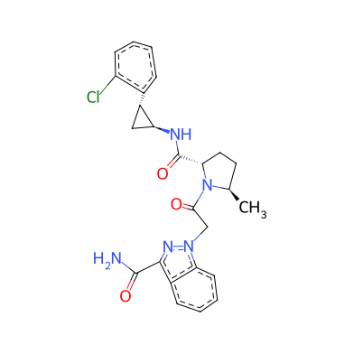 C[C@@H]1CC[C@@H](C(=O)N[C@H]2C[C@@H]2c2ccccc2Cl)N1C(=O)Cn1nc(C(N)=O)c2ccccc21